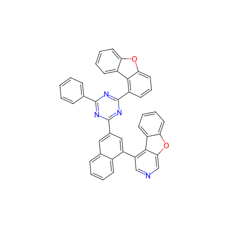 c1ccc(-c2nc(-c3cc(-c4cncc5oc6ccccc6c45)c4ccccc4c3)nc(-c3cccc4oc5ccccc5c34)n2)cc1